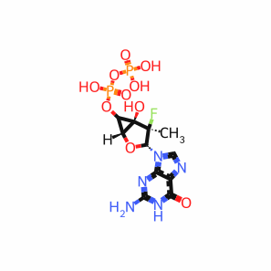 C[C@]1(F)[C@H](n2cnc3c(=O)[nH]c(N)nc32)O[C@@H]2C(OP(=O)(O)OP(=O)(O)O)[C@@]21O